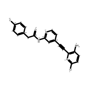 Nc1ccc(Cl)nc1C#Cc1ccnc(NC(=O)Cc2ccc(F)cc2)c1